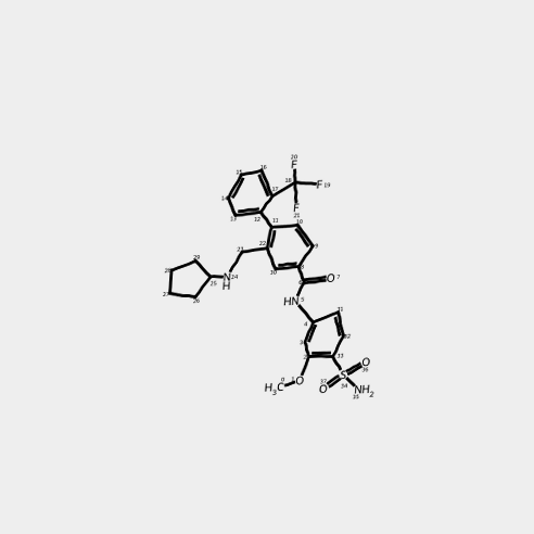 COc1cc(NC(=O)c2ccc(-c3ccccc3C(F)(F)F)c(CNC3CCCC3)c2)ccc1S(N)(=O)=O